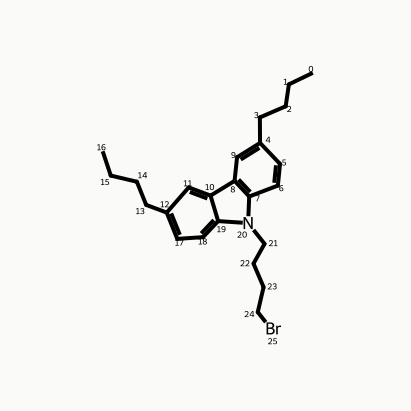 CCCCc1ccc2c(c1)c1cc(CCCC)ccc1n2CCCCBr